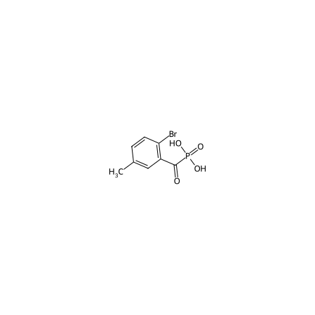 Cc1ccc(Br)c(C(=O)P(=O)(O)O)c1